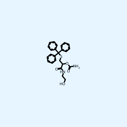 NC(=O)OC(CSC(c1ccccc1)(c1ccccc1)c1ccccc1)C(=O)NCCO